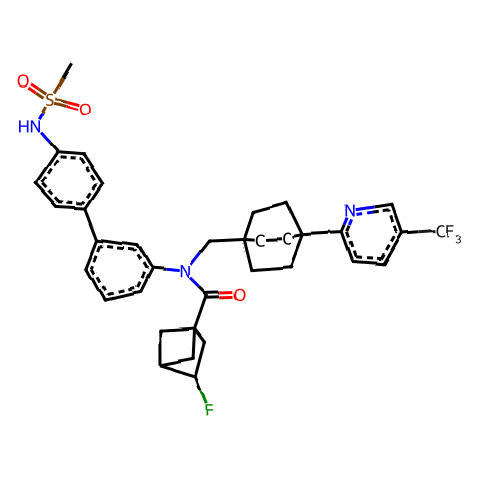 CS(=O)(=O)Nc1ccc(-c2cccc(N(CC34CCC(c5ccc(C(F)(F)F)cn5)(CC3)CC4)C(=O)C34CC(F)C(C3)C4)c2)cc1